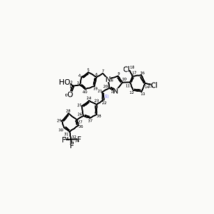 O=C(O)c1ccc(Cn2cc(-c3ccc(Cl)cc3Cl)nc2/C=C/c2ccc(-c3cccc(C(F)(F)F)c3)cc2)cc1